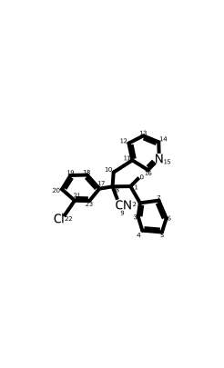 CC(c1ccccc1)C(C#N)(Cc1cccnc1)c1cccc(Cl)c1